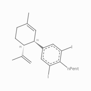 C=C(C)[C@@H]1CCC(C)=C[C@H]1c1cc(I)c(CCCCC)c(I)c1